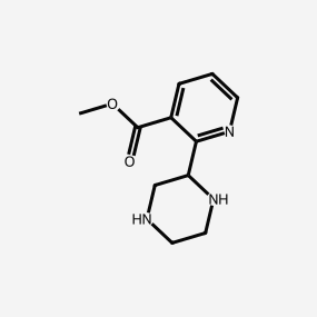 COC(=O)c1cccnc1C1CNCCN1